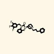 O=C(OC1C[N+]2(CCCc3ccccc3)CCC1CC2)N(Cc1cc(F)c(F)c(F)c1)c1ccccc1F